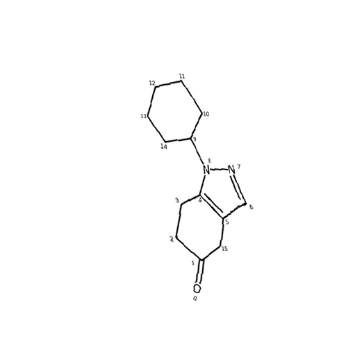 O=C1CCc2c(cnn2C2CCCCC2)C1